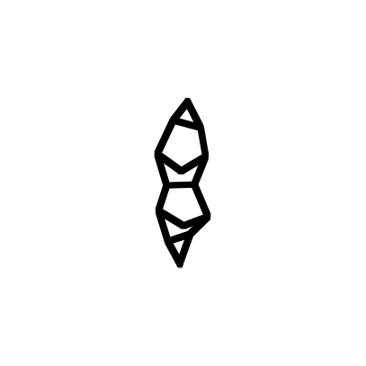 C1C2C1C1CC2C2C3CC(C4CC43)C12